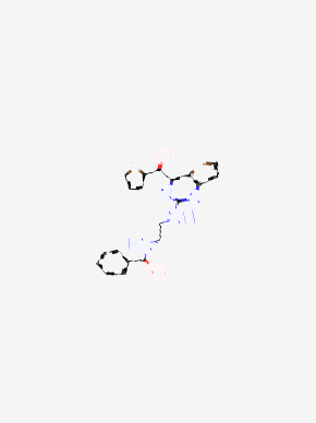 O=C(NCCNc1nc(C(=O)c2cccs2)c2sccc2n1)c1ccccc1